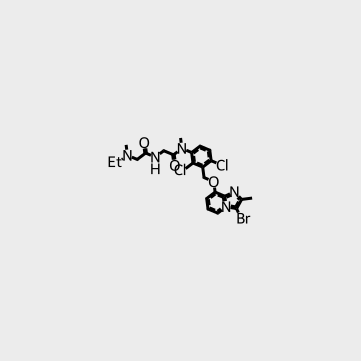 CCN(C)CC(=O)NCC(=O)N(C)c1ccc(Cl)c(COc2cccn3c(Br)c(C)nc23)c1Cl